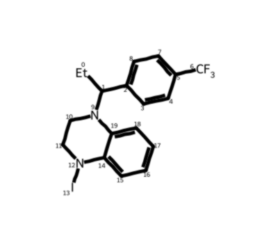 CCC(c1ccc(C(F)(F)F)cc1)N1CCN(I)c2ccccc21